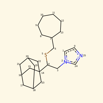 c1cn(CC(SCC2CCCCCC2)C23CC4CC(CC(C4)C2)C3)cn1